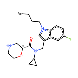 CC(=O)CCCn1cc(CN(C(=O)[C@H]2CNCCO2)C2CC2)c2cc(F)ccc21